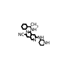 C[C@@H](Nc1nc(C#N)cc2cnc(NC3CCCNC3)cc12)c1ccccc1